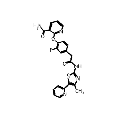 Cc1nc(NC(=O)Cc2ccc(Oc3ncccc3C(N)=O)c(F)c2)sc1-c1ccccn1